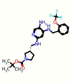 CC(C)(C)OC(=O)N1CC[C@@H](CNc2cc(NCc3ccccc3OC(F)(F)F)c(N)cn2)C1